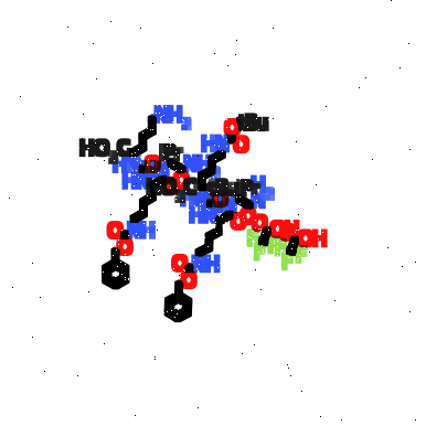 CC(C)[C@H](NC(=O)[C@@H](CCCCNC(=O)OCc1ccccc1)NC(=O)N[C@@H](CCCCN)C(=O)O)C(N)=O.CC(C)[C@H](NC(=O)[C@@H](CCCCNC(=O)OCc1ccccc1)NC(=O)N[C@](CCCCNC(=O)OC(C)(C)C)(C(=O)O)C(C)(C)C)C(N)=O.O=C(O)C(F)(F)F.O=C(O)C(F)(F)F